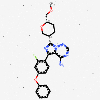 COC[C@@H]1CC[C@H](c2nc(-c3ccc(Oc4ccccc4)cc3F)c3c(N)ncnn23)CO1